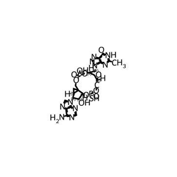 Cc1nc2c(nnn2[C@@H]2O[C@@H]3CO[P@](=O)(S)O[C@H]4[C@@H](O)[C@H](n5cnc6c(N)ncnc65)[C@H]5CC54COP(=O)(O)O[C@@H]2C3)c(=O)[nH]1